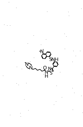 CN1CCN(CCCCCC(=O)Nc2nc(-c3cccc(NSc4cccc5c(N(C)C)cccc45)c3)cs2)CC1